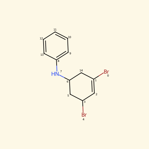 BrC1=CC(Br)CC(Nc2ccccc2)C1